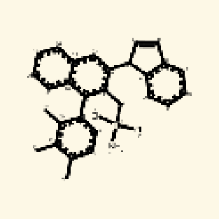 Cc1ccc(-c2c([CH2][Ti]([NH2])([Cl])[Cl])c(C3C=Cc4ccccc43)cc3ccccc23)c(C)c1C